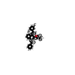 CC(=O)N1N=C(c2cc(F)ccc2F)SC12c1ccccc1N(CC(=O)c1ccccc1)CC2CC[N+](=O)[O-]